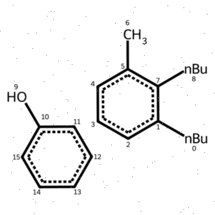 CCCCc1cccc(C)c1CCCC.Oc1ccccc1